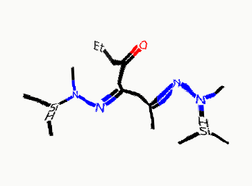 CCC(=O)C(=NN(C)[SiH](C)C)C(C)=NN(C)[SiH](C)C